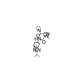 CC(C)c1nc2cc(NC(=O)c3c(C(=O)N4CCCC4)cnn3C)ccn2n1